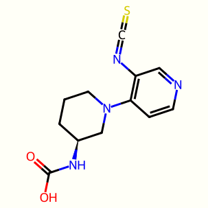 O=C(O)N[C@H]1CCCN(c2ccncc2N=C=S)C1